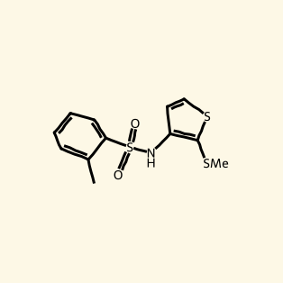 CSc1sccc1NS(=O)(=O)c1ccccc1C